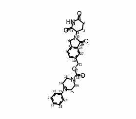 O=C1CCC(N2Cc3ccc(COC(=O)N4CCN(c5ccccc5)CC4)cc3C2=O)C(=O)N1